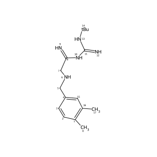 Cc1ccc(CNCC(=N)NC(=N)NC(C)(C)C)cc1C